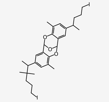 Cc1cc(C(C)CCCI)cc2c1OC1OC2Oc2c(C)cc(C(C)C(C)(C)CCCI)cc21